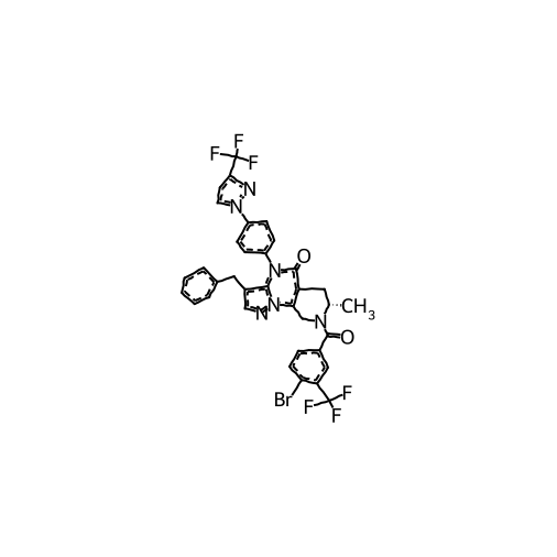 C[C@H]1Cc2c(n3ncc(Cc4ccccc4)c3n(-c3ccc(-n4ccc(C(F)(F)F)n4)cc3)c2=O)CN1C(=O)c1ccc(Br)c(C(F)(F)F)c1